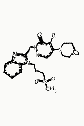 CS(=O)(=O)CCCn1c(Cn2ncc(N3CCOCC3)c(Cl)c2=O)nc2ccccc21